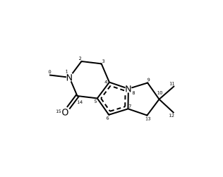 CN1CCc2c(cc3n2CC(C)(C)C3)C1=O